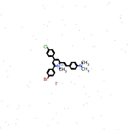 CN(C)c1ccc(/C=C/c2cc(-c3ccc(Cl)cc3)cc(-c3ccc(Br)cc3)[n+]2C)cc1.[I-]